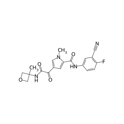 Cn1cc(C(=O)C(=O)NC2(C)COC2)cc1C(=O)Nc1ccc(F)c(C#N)c1